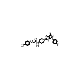 Cc1nn(-c2ccc(F)cc2)c2nc(N3CCC(NC(=O)COc4ccc(Cl)cc4)CC3)sc12